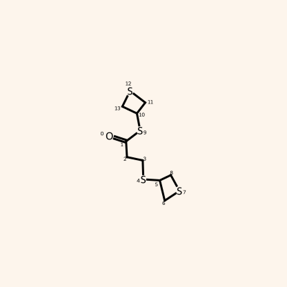 O=C(CCSC1CSC1)SC1CSC1